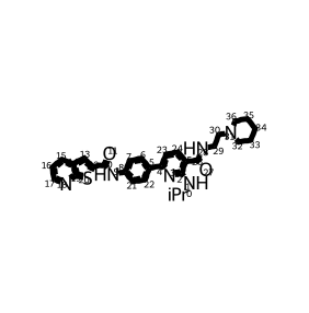 CC(C)Nc1nc(-c2ccc(NC(=O)c3cc4cccnc4s3)cc2)ccc1C(=O)NCCN1CCCCC1